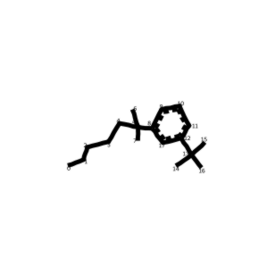 CCCCCC(C)(C)c1cc[c]c(C(C)(C)C)c1